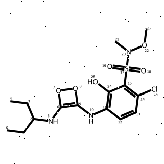 CCC(CC)Nc1ooc1Nc1ccc(Cl)c(S(=O)(=O)N(C)OC)c1O